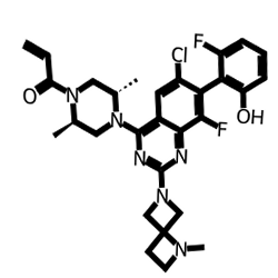 C=CC(=O)N1C[C@H](C)N(c2nc(N3CC4(CCN4C)C3)nc3c(F)c(-c4c(O)cccc4F)c(Cl)cc23)C[C@H]1C